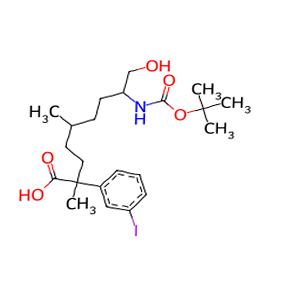 CC(CCC(CO)NC(=O)OC(C)(C)C)CCC(C)(C(=O)O)c1cccc(I)c1